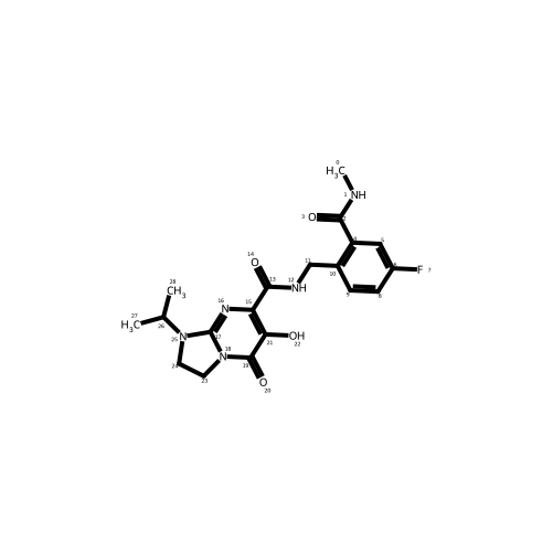 CNC(=O)c1cc(F)ccc1CNC(=O)c1nc2n(c(=O)c1O)CCN2C(C)C